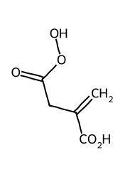 C=C(CC(=O)OO)C(=O)O